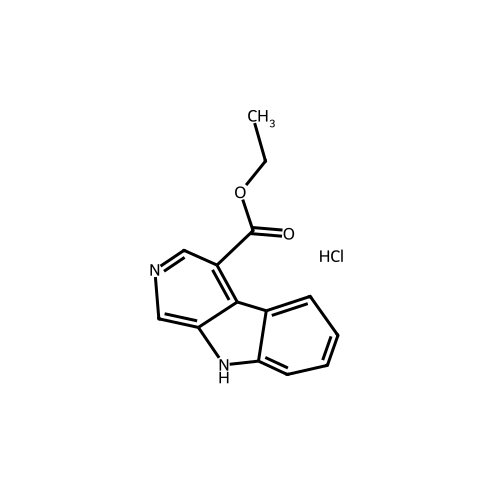 CCOC(=O)c1cncc2[nH]c3ccccc3c12.Cl